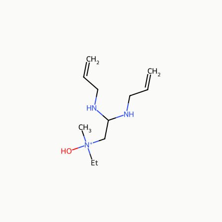 C=CCNC(C[N+](C)(O)CC)NCC=C